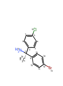 N[C@@](c1ccc(Cl)cc1)(c1ccc(Br)cc1)C(F)(F)F